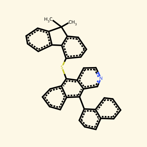 CC1(C)c2ccccc2-c2c(Sc3c4ccccc4c(-c4cccc5ccccc45)c4cnccc34)cccc21